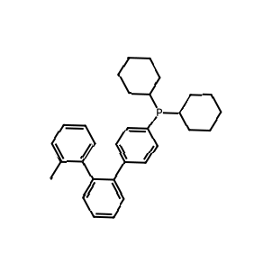 Cc1ccccc1-c1ccccc1-c1ccc(P(C2CCCCC2)C2CCCCC2)cc1